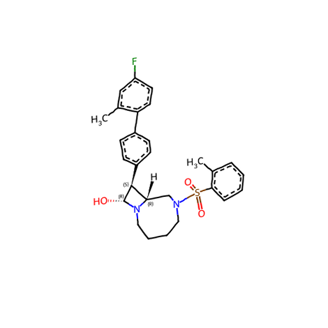 Cc1cc(F)ccc1-c1ccc([C@@H]2[C@@H](O)N3CCCCN(S(=O)(=O)c4ccccc4C)C[C@@H]23)cc1